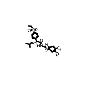 CCS(=O)(=O)c1ccc(C(OCC(C)C)C(=O)Nc2nc3cc(OC)c(OC)cc3s2)cc1